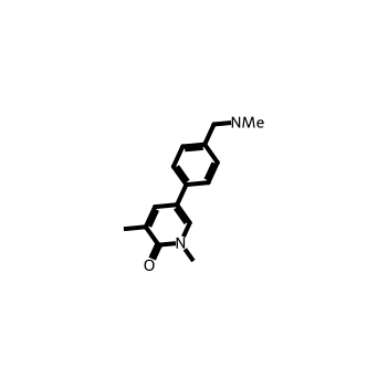 CNCc1ccc(-c2cc(C)c(=O)n(C)c2)cc1